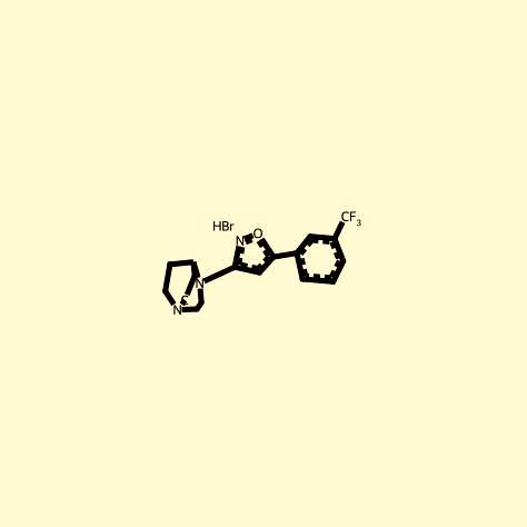 Br.FC(F)(F)c1cccc(-c2cc(N3CCN4CCC3CC4)no2)c1